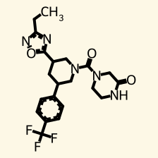 CCc1noc(C2CC(c3ccc(C(F)(F)F)cc3)CN(C(=O)N3CCNC(=O)C3)C2)n1